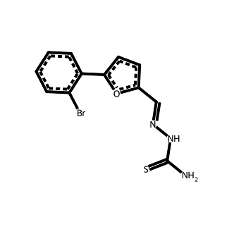 NC(=S)NN=Cc1ccc(-c2ccccc2Br)o1